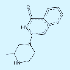 CC1CN(c2cc3ccccc3c(=O)[nH]2)CCN1